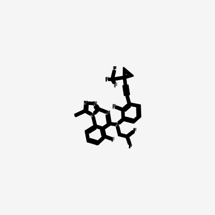 Cc1nnc2nc(N(CC(F)F)c3cccc(C#CC4(C(F)(F)F)CC4)c3F)c3c(F)cccc3n12